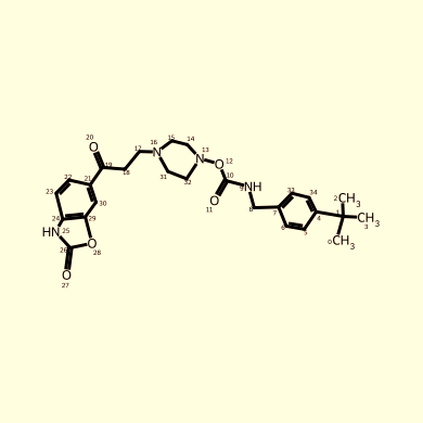 CC(C)(C)c1ccc(CNC(=O)ON2CCN(CCC(=O)c3ccc4[nH]c(=O)oc4c3)CC2)cc1